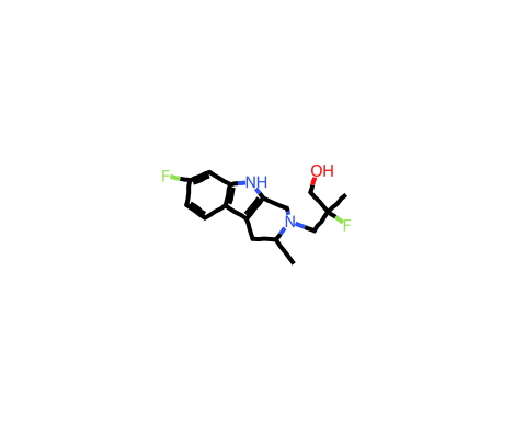 CC1Cc2c([nH]c3cc(F)ccc23)CN1CC(C)(F)CO